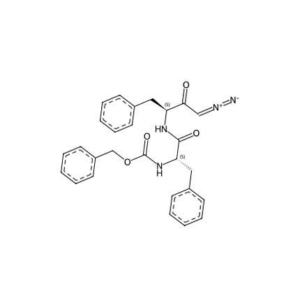 [N-]=[N+]=CC(=O)[C@H](Cc1ccccc1)NC(=O)[C@H](Cc1ccccc1)NC(=O)OCc1ccccc1